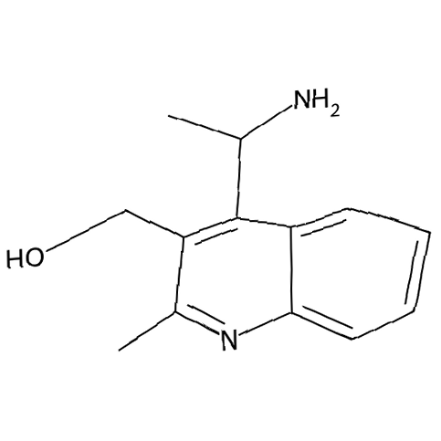 Cc1nc2ccccc2c(C(C)N)c1CO